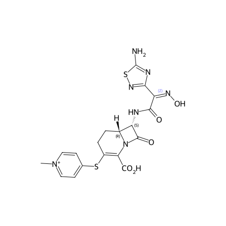 C[n+]1ccc(SC2=C(C(=O)O)N3C(=O)[C@@H](NC(=O)/C(=N\O)c4nsc(N)n4)[C@H]3CC2)cc1